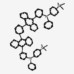 C[Si](C)(C)c1ccc(N(c2ccccc2)c2cccc(-c3c4ccccc4c(-c4cccc(-c5c6ccccc6c(-c6cccc(N(c7ccccc7)c7ccc([Si](C)(C)C)cc7)c6)c6ccccc56)c4)c4ccccc34)c2)cc1